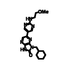 COCCNc1ncc(-c2cnc3[nH]c(=O)n(CC4CCCCC4)c3n2)cn1